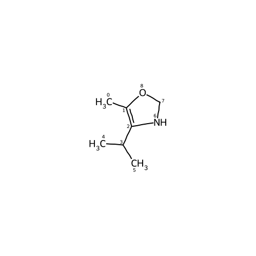 CC1=C(C(C)C)NCO1